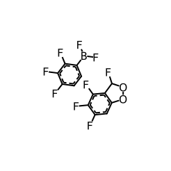 FB(F)c1ccc(F)c(F)c1F.Fc1cc2c(c(F)c1F)C(F)OO2